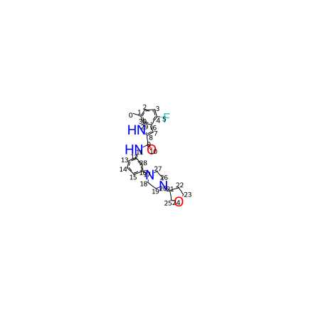 Cc1ccc(F)c2cc(C(=O)Nc3cccc(N4CCN(C5CCOC5)CC4)c3)[nH]c12